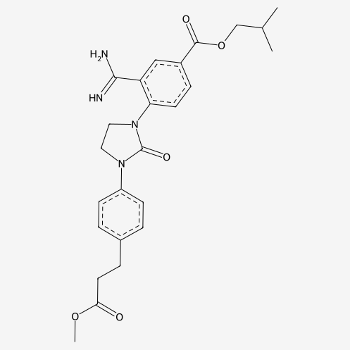 COC(=O)CCc1ccc(N2CCN(c3ccc(C(=O)OCC(C)C)cc3C(=N)N)C2=O)cc1